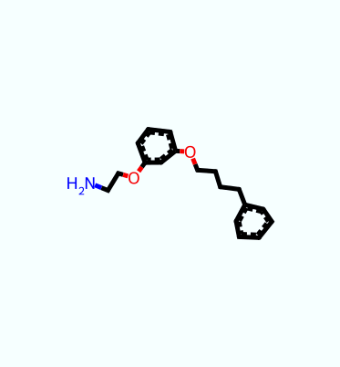 NCCOc1cccc(OCCCCc2ccccc2)c1